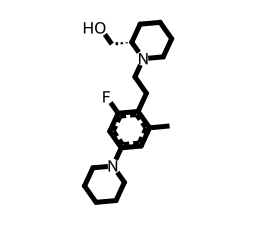 Cc1cc(N2CCCCC2)cc(F)c1CCN1CCCC[C@H]1CO